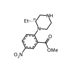 CC[C@@H]1CNCCN1c1ccc([N+](=O)[O-])cc1C(=O)OC